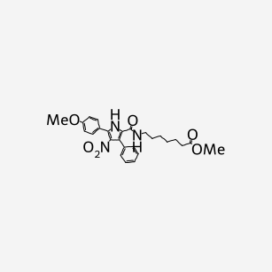 COC(=O)CCCCCCNC(=O)c1[nH]c(-c2ccc(OC)cc2)c([N+](=O)[O-])c1-c1ccccc1